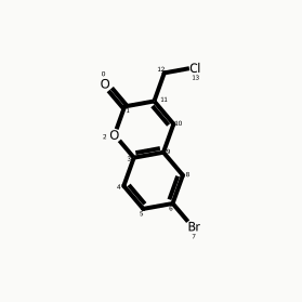 O=c1oc2ccc(Br)cc2cc1CCl